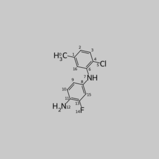 Cc1ccc(Cl)c(Nc2ccc(N)c(F)c2)c1